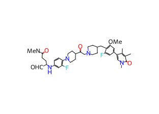 CNC(=O)CCC(C=O)Nc1ccc(N2CCC(C(=O)CN3CCC(Cc4c(F)cc(-c5cn(C)c(=O)c(C)c5C)cc4OC)CC3)CC2)c(F)c1